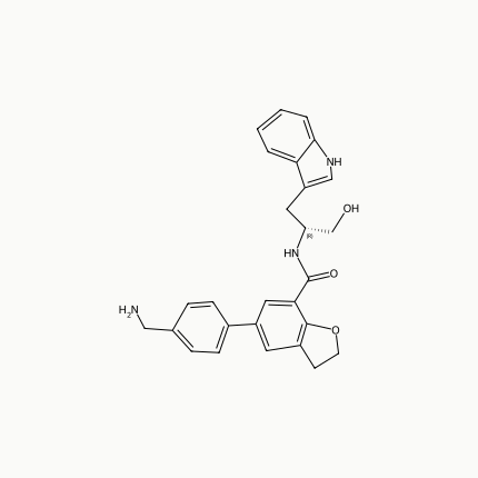 NCc1ccc(-c2cc3c(c(C(=O)N[C@@H](CO)Cc4c[nH]c5ccccc45)c2)OCC3)cc1